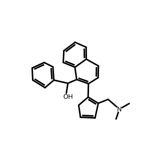 CN(C)CC1=C(c2ccc3ccccc3c2C(O)c2ccccc2)CC=C1